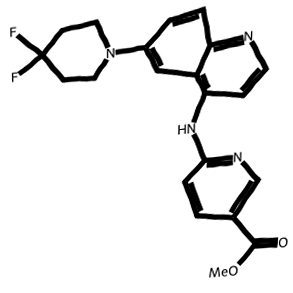 COC(=O)c1ccc(Nc2ccnc3ccc(N4CCC(F)(F)CC4)cc23)nc1